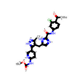 COC(=O)c1ccc(NC(=O)c2ncc(Cc3c(C(F)(F)F)n[nH]c3-c3ccc(NC(=O)OC(C)(C)C)nc3)[nH]2)cc1Cl